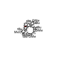 COc1c(C(C)(C)C)cc(P2c3cc(C(C)(C)C)c(OC)c(c3)C(C)(C)CC(C)(C)c3cc(cc(C(C)(C)C)c3OC)P(c3cc(C(C)(C)C)c(OC)c(C(C)(C)C)c3)c3ccc4ccccc4c3-c3c2ccc2ccccc32)cc1C(C)(C)C